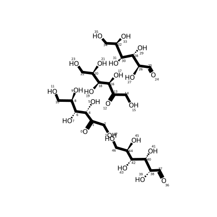 O=C(CO)[C@@H](O)[C@H](O)[C@H](O)CO.O=C(CO)[C@H](O)[C@@H](O)[C@H](O)CO.O=C[C@@H](O)[C@@H](O)[C@H](O)[C@H](O)CO.O=C[C@H](O)[C@@H](O)[C@H](O)[C@H](O)CO